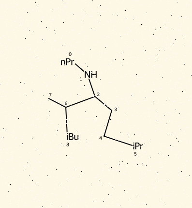 [CH2]CCNC(CCC(C)C)C(C)C(C)CC